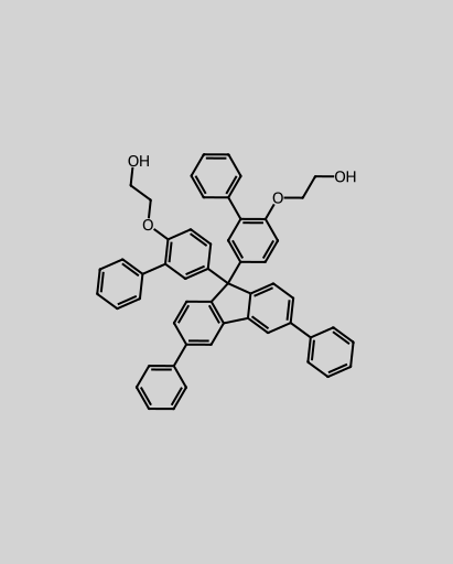 OCCOc1ccc(C2(c3ccc(OCCO)c(-c4ccccc4)c3)c3ccc(-c4ccccc4)cc3-c3cc(-c4ccccc4)ccc32)cc1-c1ccccc1